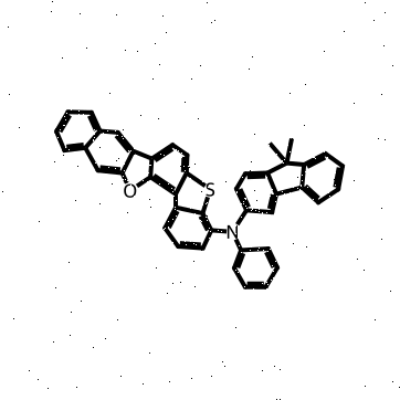 CC1(C)c2ccccc2-c2cc(N(c3ccccc3)c3cccc4c3sc3ccc5c6cc7ccccc7cc6oc5c34)ccc21